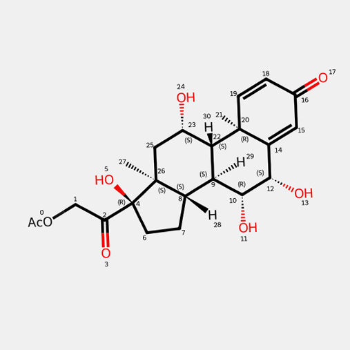 CC(=O)OCC(=O)[C@@]1(O)CC[C@H]2[C@@H]3[C@@H](O)[C@@H](O)C4=CC(=O)C=C[C@]4(C)[C@H]3[C@@H](O)C[C@@]21C